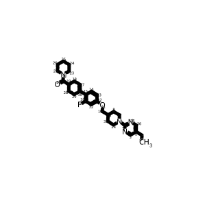 CCc1cnc(N2CCC(COc3ccc(C4=CCC(C(=O)N5CCCCC5)CC4)c(F)c3)CC2)nc1